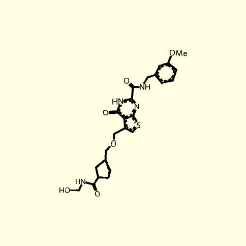 COc1cccc(CNC(=O)c2nc3scc(COCC4CCC(C(=O)NCO)C4)c3c(=O)[nH]2)c1